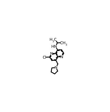 CC(C)Nc1ccnc2c(CN3CCCC3)cc(Cl)nc12